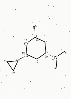 C[C@@H]1C[C@H](N(C)C)C[C@H](C2CC2)O1